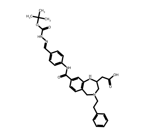 CC(C)(C)OC(=O)NN=Cc1ccc(NC(=O)c2ccc3c(c2)NC(CC(=O)O)CN(CCc2ccccc2)C3)cc1